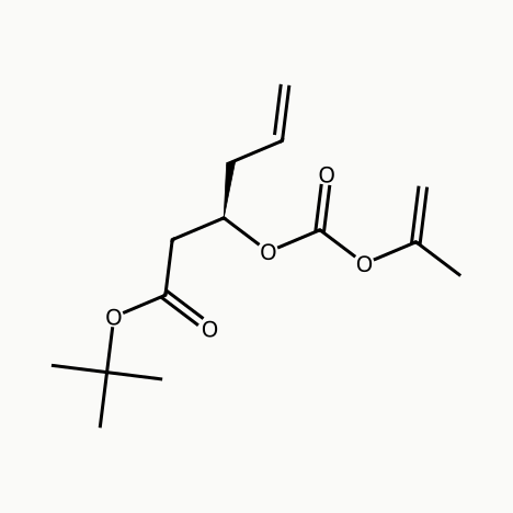 C=CC[C@H](CC(=O)OC(C)(C)C)OC(=O)OC(=C)C